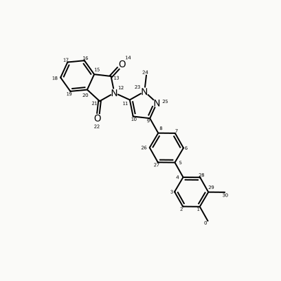 Cc1ccc(-c2ccc(-c3cc(N4C(=O)c5ccccc5C4=O)n(C)n3)cc2)cc1C